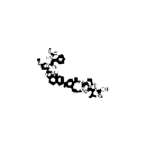 C=C1N/C([C@@H]2CCCN2C(=O)[C@@H](NC(O)OC)C(C)C)=N\C/C=C\C2=C1C=CC(C)(C1=CCC3(C)C(=C1)C=Cc1nc([C@@H]4C[C@H](SC)CN4C(=O)[C@H](NC(=O)OC)c4ccccc4)[nH]c13)C2